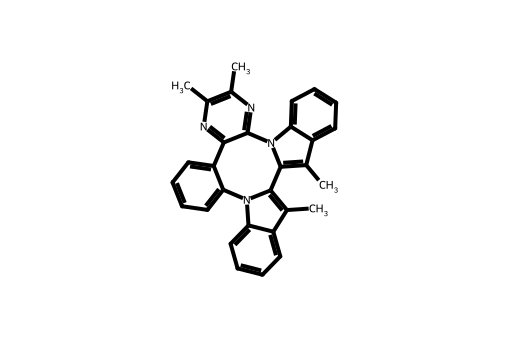 Cc1nc2c3ccccc3n3c4ccccc4c(C)c3c3c(C)c4ccccc4n3c2nc1C